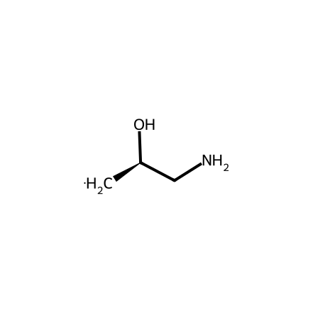 [CH2][C@@H](O)CN